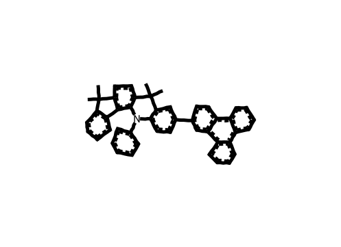 CC1(C)c2ccccc2-c2c1ccc1c2N(c2ccccc2)c2ccc(-c3ccc4c5ccccc5c5ccccc5c4c3)cc2C1(C)C